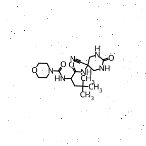 CC(C)(C)CC(NC(=O)N1CCOCC1)C(=O)NC1(C#N)CNC(=O)NC1